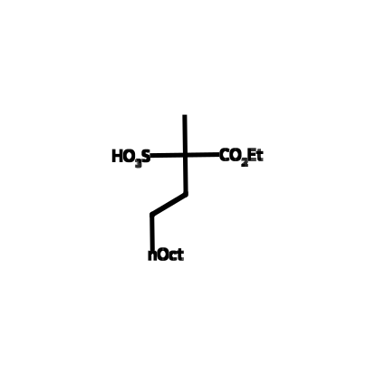 CCCCCCCCCCC(C)(C(=O)OCC)S(=O)(=O)O